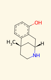 C[C@@]12CCN[C@@H](Cc3c(O)cccc31)C2